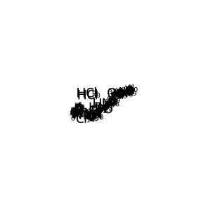 Cc1ccc2cccc(OCc3c(Cl)ccc(N(C)C(=O)CNC(=O)Nc4cccc(C(=O)N5CCN(c6ccccc6)CC5)c4)c3Cl)c2n1.Cl.Cl